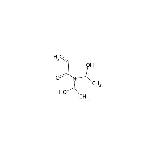 C=CC(=O)N(C(C)O)C(C)O